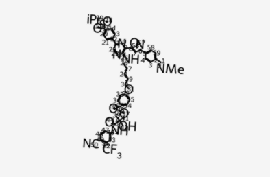 CNCc1ccc(-c2cc(-c3nc(-c4ccc(S(=O)(=O)C(C)C)cc4)cnc3NCCCCCOc3ccc(S(=O)(=O)C[C@](C)(O)C(=O)Nc4ccc(C#N)c(C(F)(F)F)c4)cc3)on2)cc1